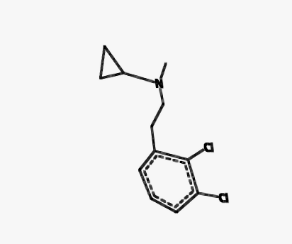 CN(CCc1cccc(Cl)c1Cl)C1CC1